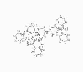 O=P(c1ccccc1)(c1ccccc1)c1ccc(-c2cccc(-c3nc4ccccc4c4sc(-c5ccccn5)c(-c5ccccn5)c34)c2)cc1